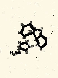 [SeH2].c1ccc2c(c1)sc1ccccc12.c1ccsc1